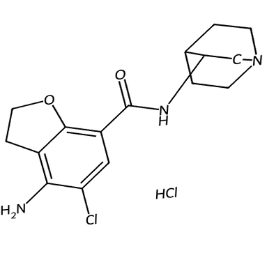 Cl.Nc1c(Cl)cc(C(=O)NC2CN3CCC2CC3)c2c1CCO2